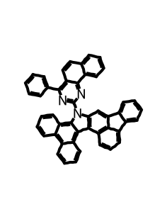 c1ccc(-c2nc(-n3c4cc5c6c(cccc6c4c4c6ccccc6c6ccccc6c43)-c3ccccc3-5)nc3c2ccc2ccccc23)cc1